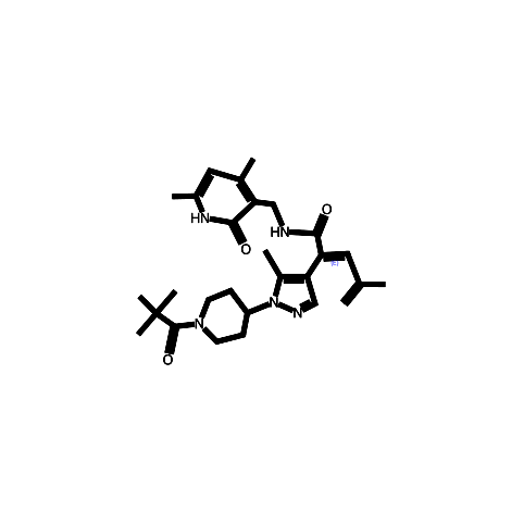 C=C(C)/C=C(/C(=O)NCc1c(C)cc(C)[nH]c1=O)c1cnn(C2CCN(C(=O)C(C)(C)C)CC2)c1C